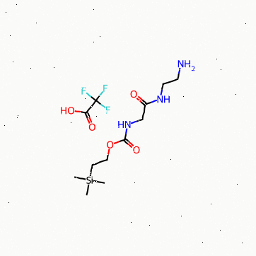 C[Si](C)(C)CCOC(=O)NCC(=O)NCCN.O=C(O)C(F)(F)F